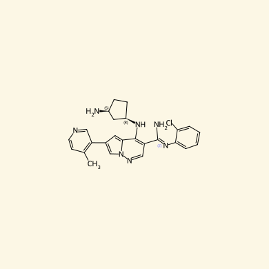 Cc1ccncc1-c1cc2c(N[C@@H]3CC[C@H](N)C3)c(/C(N)=N/c3ccccc3Cl)cnn2c1